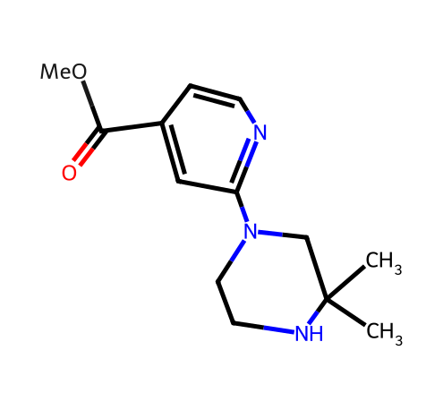 COC(=O)c1ccnc(N2CCNC(C)(C)C2)c1